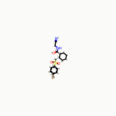 N#CCNC(=O)[C@H]1CCCC[C@@H]1CS(=O)(=O)c1ccc(Br)cc1